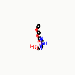 CC(C(=O)Nc1ccn(CC(C)(C)O)n1)n1ncc(Oc2cccc(Oc3ccccc3)c2)cc1=O